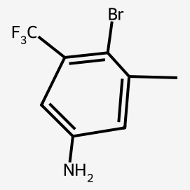 Cc1cc(N)cc(C(F)(F)F)c1Br